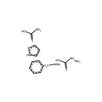 CNC.N.NC(O)=S.NC(O)=S.c1ccccc1.c1cn[nH]c1